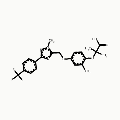 Cc1cc(OCc2nc(-c3ccc(C(F)(F)F)cc3)nn2C)ccc1OC(C)(C)C(=O)O